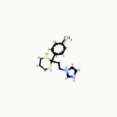 Cc1ccc(C2(CCn3ccnc3)SCCCS2)cc1